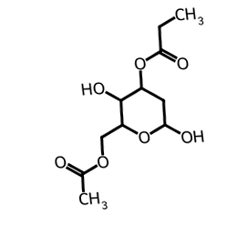 CCC(=O)OC1CC(O)OC(COC(C)=O)C1O